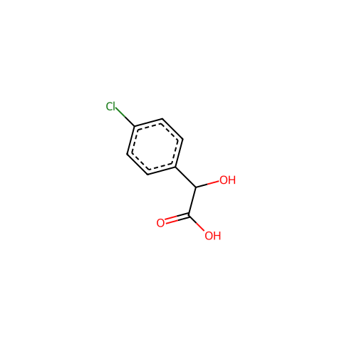 O=C(O)C(O)c1ccc(Cl)cc1